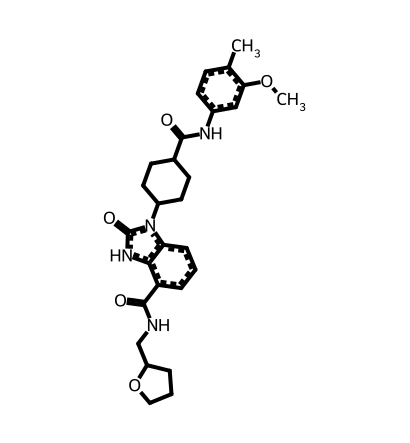 COc1cc(NC(=O)C2CCC(n3c(=O)[nH]c4c(C(=O)NCC5CCCO5)cccc43)CC2)ccc1C